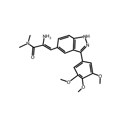 COc1cc(-c2n[nH]c3ccc(/C=C(\N)C(=O)N(C)C)cc23)cc(OC)c1OC